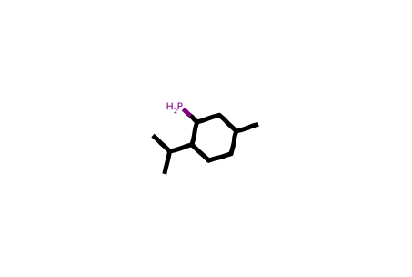 CC1CCC(C(C)C)C(P)C1